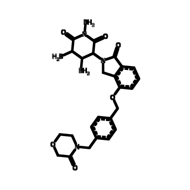 BC1C(=O)N(B)C(=O)C(N2Cc3c(OCc4ccc(CN5CCOCC5=O)cc4)cccc3C2=O)C1B